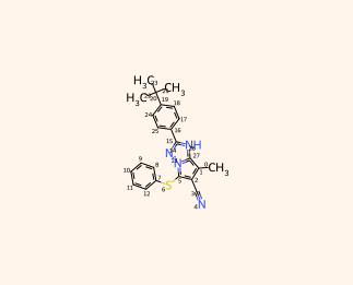 Cc1c(C#N)c(Sc2ccccc2)n2nc(-c3ccc(C(C)(C)C)cc3)[nH]c12